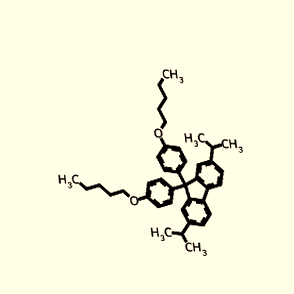 CCCCCOc1ccc(C2(c3ccc(OCCCCC)cc3)c3cc(C(C)C)ccc3-c3ccc(C(C)C)cc32)cc1